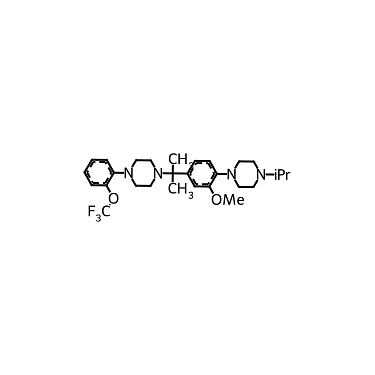 COc1cc(C(C)(C)N2CCN(c3ccccc3OC(F)(F)F)CC2)ccc1N1CCN(C(C)C)CC1